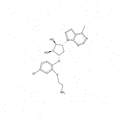 Cc1ncnc2c1ccn2[C@@H]1C[C@H](Oc2ccc(Cl)cc2OCCN)[C@@H](O)[C@H]1O